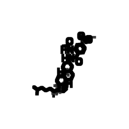 CC(=O)Nc1cc([N+](=O)[O-])ccc1C(=O)NC1CC[C@@]2(C)C(CC[C@H]3[C@@H]4CC[C@H]([C@H](C)CCCC(C)C)[C@@]4(C)CC[C@@H]32)C1